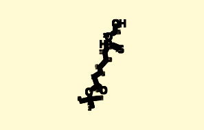 CC(C)(C)OC(=O)CCCCC[PH](=S)OCO